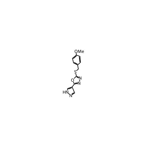 COc1ccc(CSc2nnc(-c3cn[nH]c3)o2)cc1